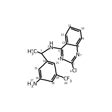 CC(Nc1nc(Cl)nc2ccccc12)c1cc(N)cc(C(F)(F)F)c1